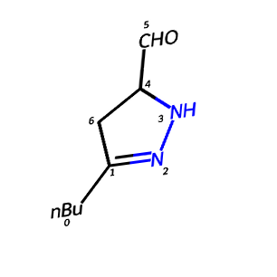 CCCCC1=NNC(C=O)C1